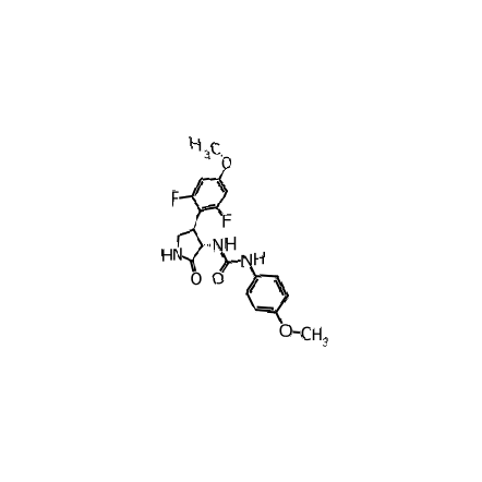 COc1ccc(NC(=O)N[C@@H]2C(=O)NC[C@H]2c2c(F)cc(OC)cc2F)cc1